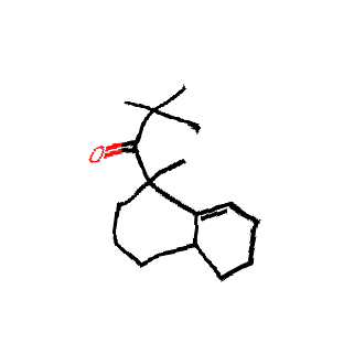 CC(C)(C)C(=O)C1(C)CCCC2CCCC=C21